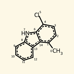 Cc1ccc(Cl)c2[nH]c3ccccc3c12